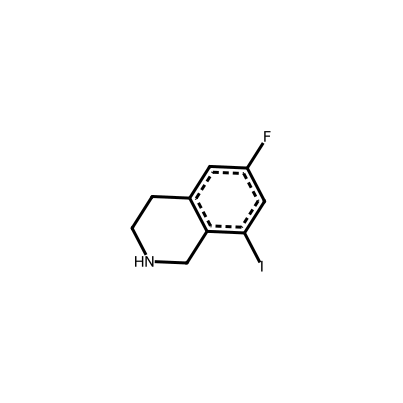 Fc1cc(I)c2c(c1)CCNC2